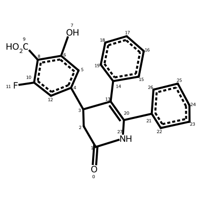 O=C1CC(c2cc(O)c(C(=O)O)c(F)c2)C(c2ccccc2)=C(c2ccccc2)N1